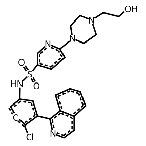 O=S(=O)(Nc1ccc(Cl)c(-c2nccc3ccccc23)c1)c1ccc(N2CCN(CCO)CC2)nc1